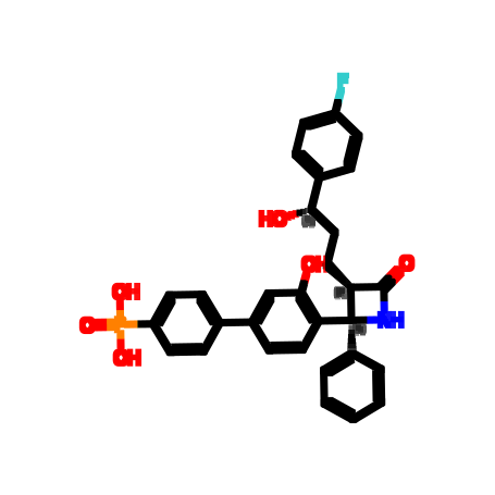 O=C1N[C@@](c2ccccc2)(c2ccc(-c3ccc(P(=O)(O)O)cc3)cc2O)[C@H]1CC[C@H](O)c1ccc(F)cc1